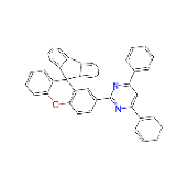 C1=CC(c2cc(-c3ccccc3)nc(-c3ccc4c(c3)C3(c5ccccc5O4)c4ccccc4-c4ccccc43)n2)=CCC1